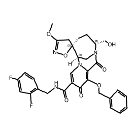 COC1=NO[C@@]2(CC[C@H](CO)N3C[C@H]2n2cc(C(=O)NCc4ccc(F)cc4F)c(=O)c(OCc4ccccc4)c2C3=O)C1